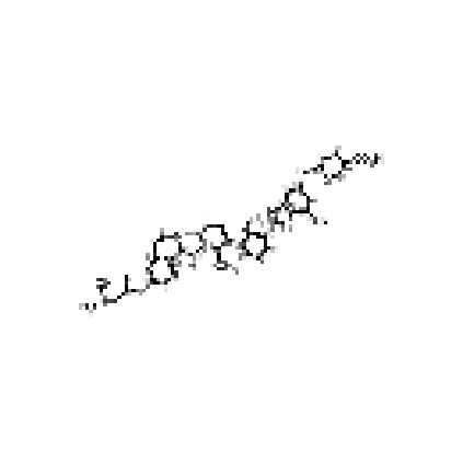 Cc1c(Nc2nccc3cc(CNC[C@H](C)O)cnc23)cccc1-c1cccc(-c2nc3cc(CN4CCC(C(=O)O)CC4)cc(C#N)c3o2)c1C